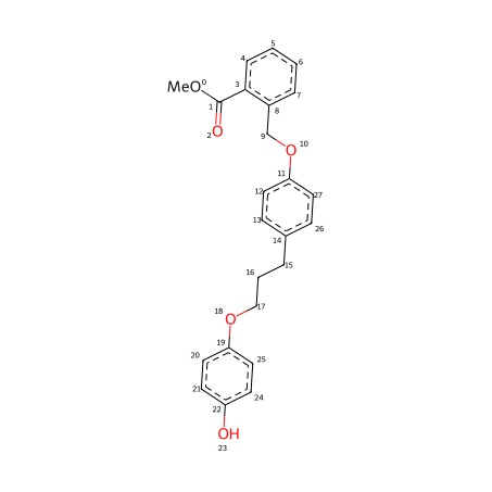 COC(=O)c1ccccc1COc1ccc(CCCOc2ccc(O)cc2)cc1